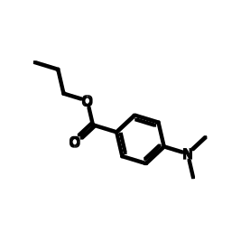 CCCOC(=O)c1ccc(N(C)C)cc1